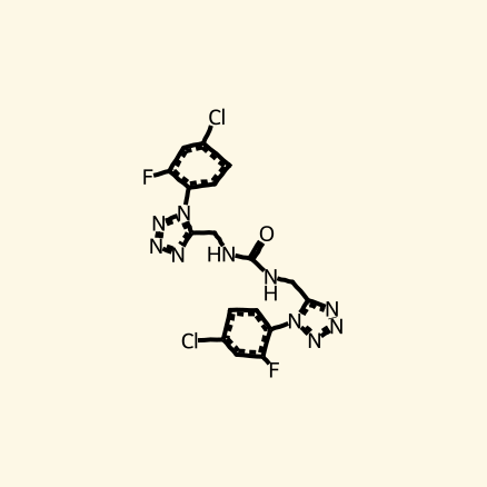 O=C(NCc1nnnn1-c1ccc(Cl)cc1F)NCc1nnnn1-c1ccc(Cl)cc1F